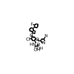 N#Cc1cncc(COc2cc(O[C@@H]3CCc4c(-c5ccccc5F)cccc43)c(Cl)cc2CN[C@@H](CO)C(=O)O)c1